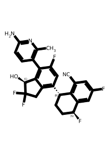 Cc1nc(N)ccc1-c1c(F)cc([C@H]2CC[C@H](F)c3cc(F)cc(C#N)c32)c2c1[C@H](O)C(F)(F)C2